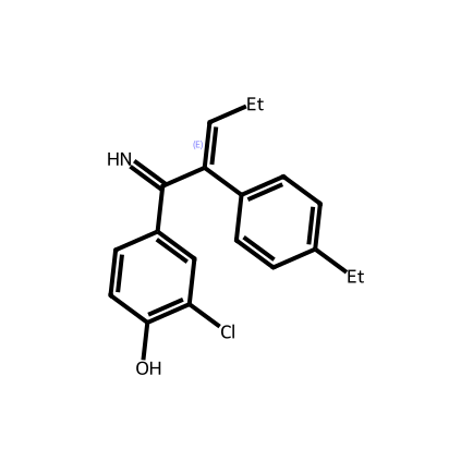 CC/C=C(/C(=N)c1ccc(O)c(Cl)c1)c1ccc(CC)cc1